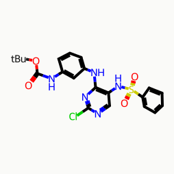 CC(C)(C)OC(=O)Nc1cccc(Nc2nc(Cl)ncc2NS(=O)(=O)c2ccccc2)c1